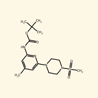 Cc1cc(NC(=O)OC(C)(C)C)nc(N2CCN(S(C)(=O)=O)CC2)c1